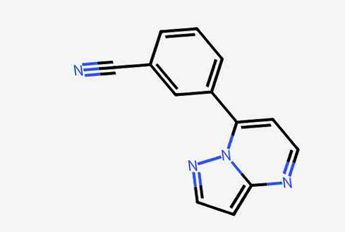 N#Cc1cccc(-c2ccnc3ccnn23)c1